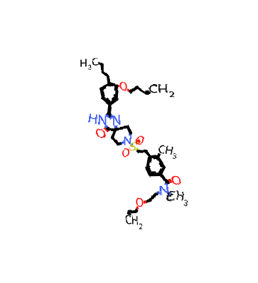 C=CCCOc1cc(C2=NC3(CCN(S(=O)(=O)CCc4ccc(C(=O)N(C)CCOCC=C)cc4C)CC3)C(=O)N2)ccc1CCCC